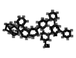 N#Cc1cccc(-c2nc(-c3ccccc3)nc(-c3ccccc3-c3ccc(-c4ccc5ccc6c(c5c4)-c4ccccc4C64C5CC6CC(C5)CC4C6)cc3)n2)c1